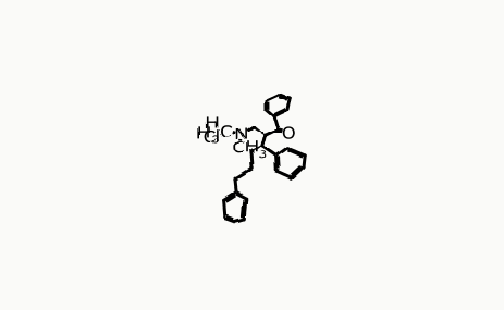 CN(C)C[C@@H](C(=O)c1ccccc1)[C@H](CCCc1ccccc1)c1ccccc1.Cl